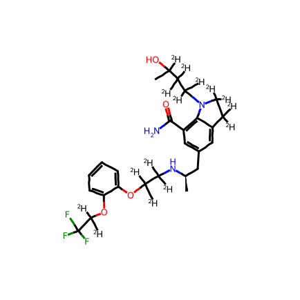 [2H]C(C)(O)C([2H])([2H])C([2H])([2H])N1c2c(C(N)=O)cc(C[C@@H](C)NC([2H])([2H])C([2H])([2H])Oc3ccccc3OC([2H])([2H])C(F)(F)F)cc2C([2H])([2H])C1([2H])[2H]